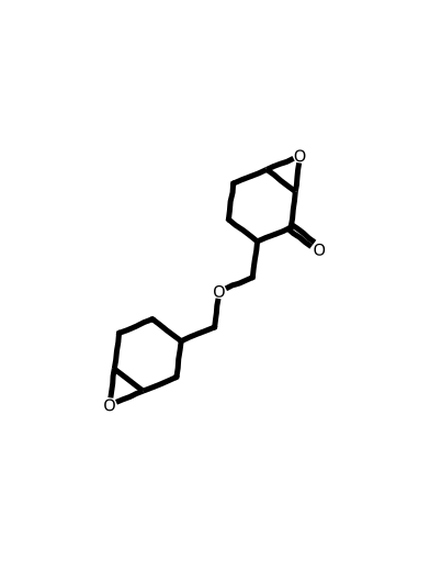 O=C1C(COCC2CCC3OC3C2)CCC2OC12